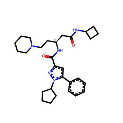 O=C(C[C@H](CCN1CCCCC1)NC(=O)c1cc(-c2ccccc2)n(C2CCCC2)n1)NC1CCC1